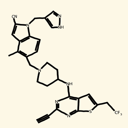 C#Cc1nc(NC2CCN(Cc3ccc4c(cc(C#N)n4Cc4cn[nH]c4)c3C)CC2)c2cc(CC(F)(F)F)sc2n1